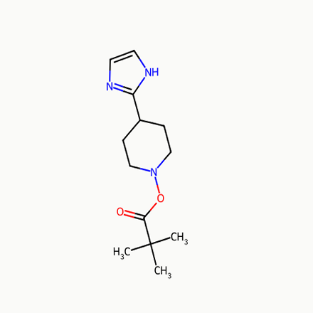 CC(C)(C)C(=O)ON1CCC(c2ncc[nH]2)CC1